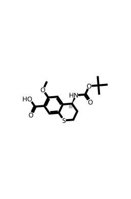 COc1cc2c(cc1C(=O)O)SCC[C@@H]2NC(=O)OC(C)(C)C